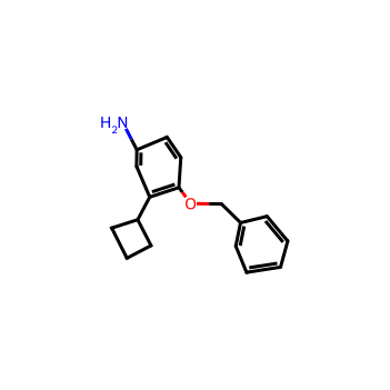 Nc1ccc(OCc2ccccc2)c(C2CCC2)c1